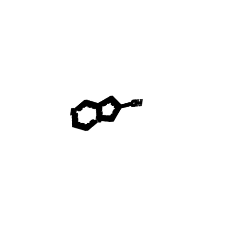 Oc1cc2cnccn2c1